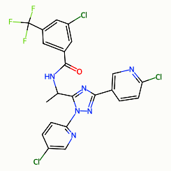 CC(NC(=O)c1cc(Cl)cc(C(F)(F)F)c1)c1nc(-c2ccc(Cl)nc2)nn1-c1ccc(Cl)cn1